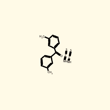 Cc1cccc(C(=O)c2cccc(C)c2)c1.N=C=S.N=C=S